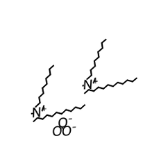 CCCCCCCCCCC(C)[N+](C)(CC)CCCCCCCCCC.CCCCCCCCCCC(C)[N+](C)(CC)CCCCCCCCCC.O=C([O-])[O-]